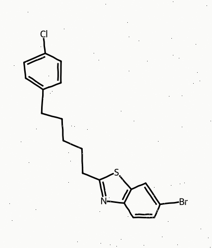 Clc1ccc(CCCCCc2nc3ccc(Br)cc3s2)cc1